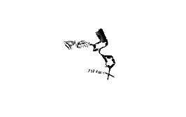 CCCCCCC(C)(C)c1ccc(-c2cccc(C(C)CCC)c2)s1